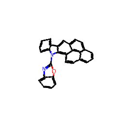 c1cc2ccc3cc4c5ccccc5n(-c5nc6ccccc6o5)c4c4ccc(c1)c2c34